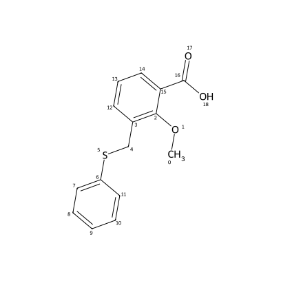 COc1c(CSc2ccccc2)cccc1C(=O)O